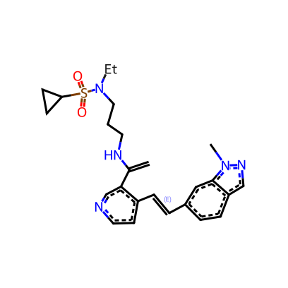 C=C(NCCCN(CC)S(=O)(=O)C1CC1)c1cnccc1/C=C/c1ccc2cnn(C)c2c1